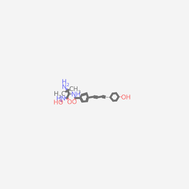 CC(C)(N)[C@H](NC(=O)c1ccc(C#CC#C[C@H]2CC[C@@H](O)CC2)cc1)C(=O)NO